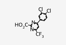 O=C(O)c1nc(-c2ccc(Cl)c(Cl)c2)cc(C(F)(F)F)n1